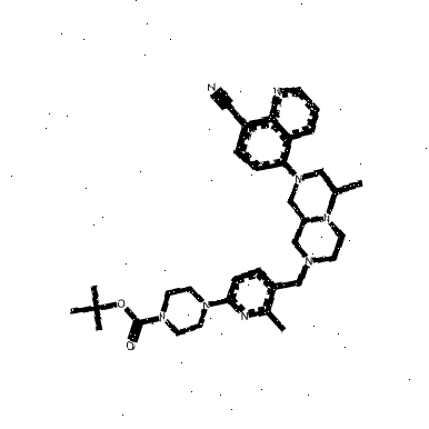 Cc1nc(N2CCN(C(=O)OC(C)(C)C)CC2)ccc1CN1CCN2C(C)CN(c3ccc(C#N)c4ncccc34)CC2C1